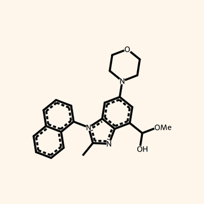 COC(O)c1cc(N2CCOCC2)cc2c1nc(C)n2-c1cccc2ccccc12